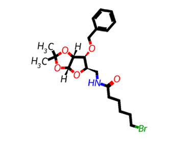 CC1(C)O[C@H]2O[C@H](CNC(=O)CCCCCBr)[C@H](OCc3ccccc3)[C@H]2O1